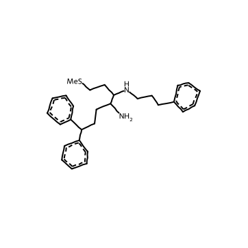 CSCCC(NCCCc1ccccc1)C(N)CCC(c1ccccc1)c1ccccc1